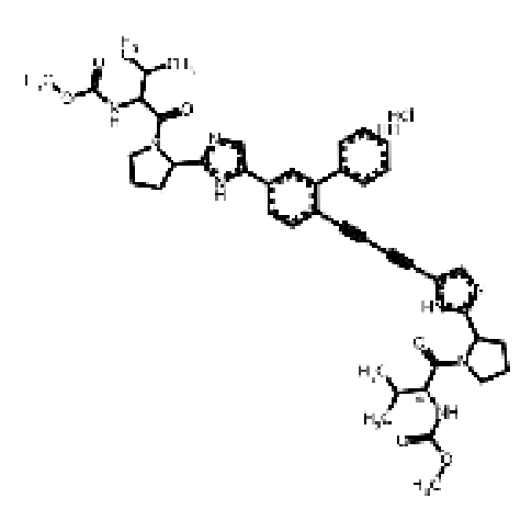 COC(=O)NC(C(=O)N1CCCC1c1ncc(-c2ccc(C#CC#Cc3cnc(C4CCCN4C(=O)[C@@H](NC(=O)OC)C(C)C)[nH]3)c(-c3ccccc3)c2)[nH]1)C(C)C.Cl.Cl